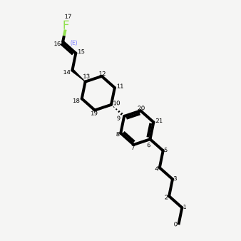 CCCCCCc1ccc([C@H]2CC[C@H](C/C=C/F)CC2)cc1